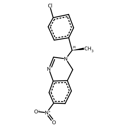 C[C@H](c1ccc(Cl)cc1)N1C=Nc2cc([N+](=O)[O-])ccc2C1